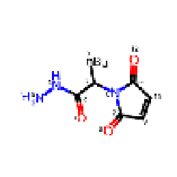 CCCCC(C(=O)NN)N1C(=O)C=CC1=O